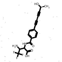 C[C@H](O)C#CC#Cc1ccc(C(=O)NC(C(=O)O)C(N)C(F)(F)F)cc1